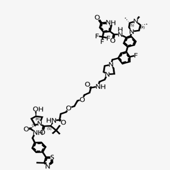 Cc1ncsc1-c1ccc(CNC(=O)[C@@H]2C[C@@H](O)CN2C(=O)[C@@H](NC(=O)CCOCCOCCC(=O)NCCN2CCN(Cc3ccc(F)c(-c4ccc(N5C[C@@H](C)N(C)[C@@H](C)C5)c(NC(=O)c5c[nH]c(=O)cc5C(F)(F)F)c4)c3)CC2)C(C)(C)C)cc1